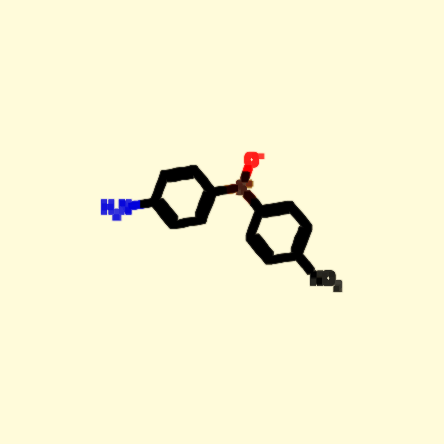 Nc1ccc([S+]([O-])c2ccc([N+](=O)[O-])cc2)cc1